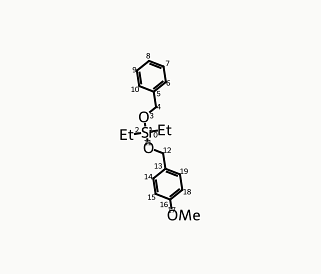 CC[Si](CC)(OCc1ccccc1)OCc1ccc(OC)cc1